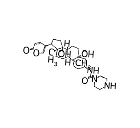 C[C@]12CC[C@H](NC(=O)N3CCNCC3)C[C@@]1(O)CC[C@@H]1[C@@H]2CC[C@]2(C)[C@@H](c3ccc(=O)oc3)CC[C@]12O